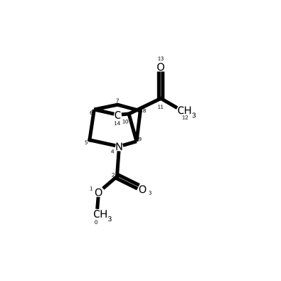 COC(=O)N1CC2CCC1C(C(C)=O)C2